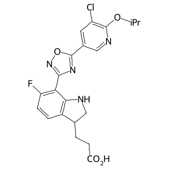 CC(C)Oc1ncc(-c2nc(-c3c(F)ccc4c3NCC4CCC(=O)O)no2)cc1Cl